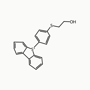 OCCSc1ccc(-[s+]2c3ccccc3c3ccccc32)cc1